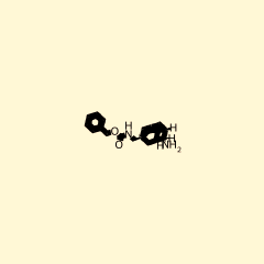 N[C@H]1[C@@H]2CC3C[C@H]1C[C@@](CNC(=O)OCc1ccccc1)(C3)C2